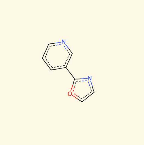 c1cncc(-c2ncco2)c1